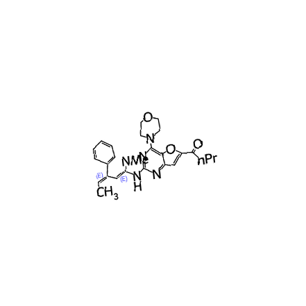 C/C=C(\C=C(/NC)Nc1nc(N2CCOCC2)c2oc(C(=O)CCC)cc2n1)c1ccccc1